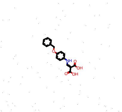 O=C(O)C(=CNc1ccc(OCc2ccccc2)cc1)C(=O)O